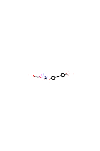 CNC(=O)[C@@](C)(C(=O)NOC(=O)CCC(=O)O)N(C)C(=O)c1ccc(C#Cc2ccc([C@H](O)CO)cc2)cc1